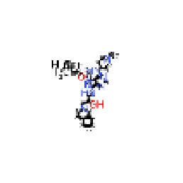 CC(=O)N1CCC(Nc2ncnc3c(NC[C@H](O)CN4CCc5ccccc5C4)nn(COCC[Si](C)(C)C)c23)CC1